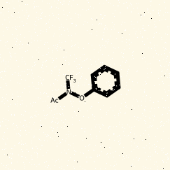 CC(=O)N(Oc1ccccc1)C(F)(F)F